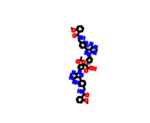 COc1ccccc1C(=O)NCc1ccc(-c2nn([C@H]3C=C[C@H](C(C(=O)O)[C@]4(OC(C)=O)C=C[C@H](n5nc(-c6ccc(CNC(=O)c7ccccc7OC)cc6)c6c(N)ncnc65)C4)C3)c3ncnc(N)c23)cc1